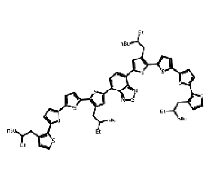 CCCCC(CC)Cc1ccsc1-c1ccc(-c2ccc(-c3sc(-c4ccc(-c5cc(CC(CC)CCCC)c(-c6ccc(-c7ccc(-c8sccc8CC(CC)CCCC)s7)s6)s5)c5nsnc45)cc3CC(CC)CCCC)s2)s1